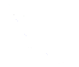 COC(CCC(=O)O)=NCCCc1cccc(N2CC3CN(C(=O)c4c(F)cccc4Cl)CC3C2)c1